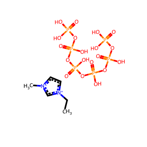 CC[n+]1ccn(C)c1.O=P(O)(O)OP(=O)(O)OP(=O)(O)OP(=O)(O)OP(=O)(O)OP(=O)(O)O